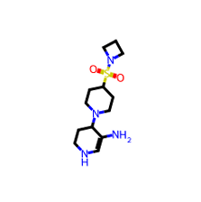 NC1=CNCCC1N1CCC(S(=O)(=O)N2CCC2)CC1